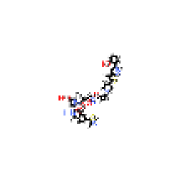 Cc1ncsc1-c1ccc([C@H](C)NC(=O)[C@@H]2C[C@@H](O)CN2C(=O)[C@H](c2cc(O[C@H]3CC[C@@H]3N3CCC(c4sc5nnc(-c6ccccc6O)cc5c4C)CC3)no2)C(C)C)cc1